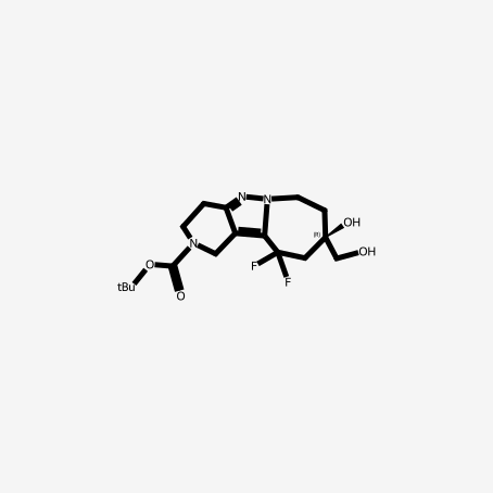 CC(C)(C)OC(=O)N1CCc2nn3c(c2C1)C(F)(F)C[C@@](O)(CO)CC3